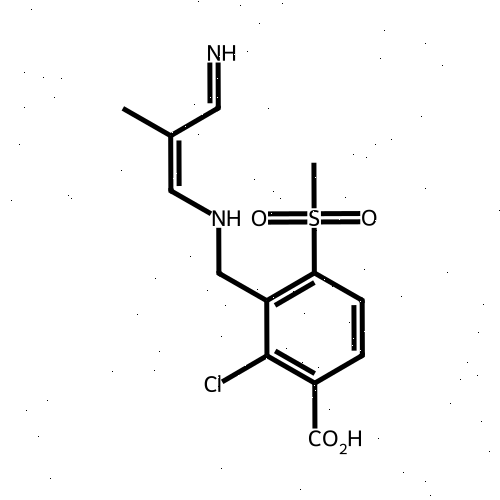 C/C(C=N)=C/NCc1c(S(C)(=O)=O)ccc(C(=O)O)c1Cl